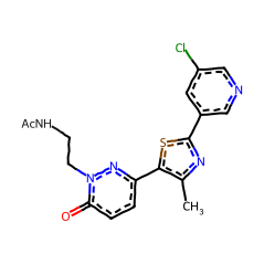 CC(=O)NCCn1nc(-c2sc(-c3cncc(Cl)c3)nc2C)ccc1=O